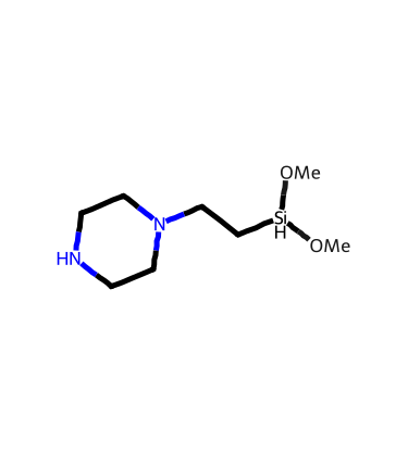 CO[SiH](CCN1CCNCC1)OC